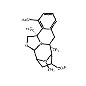 COc1cccc2c1[C@]1(C)COC3C4CC(C(=O)O)C(N4C)[C@](C)(C2)N31